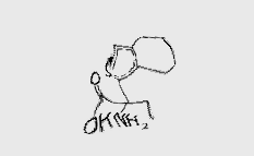 CCC(N)(C(=O)O)c1scc2c1CCCC2